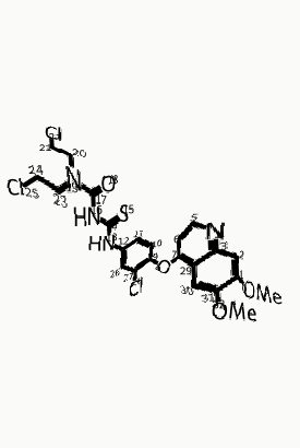 COc1cc2nccc(Oc3ccc(NC(=S)NC(=O)N(CCCl)CCCl)cc3Cl)c2cc1OC